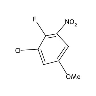 COc1cc(Cl)c(F)c([N+](=O)[O-])c1